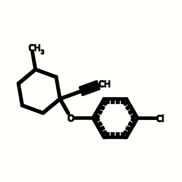 C#CC1(Oc2ccc(Cl)cc2)CCCC(C)C1